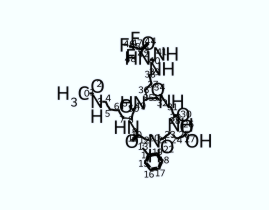 CC(=O)NCCCC[C@@H]1NC(=O)[C@@H](Cc2ccccc2)NC(=O)[C@H](CC(=O)O)NC(=O)CNC(=O)[C@H](CCCNC(=N)NC(=O)C(F)(F)F)NC1=O